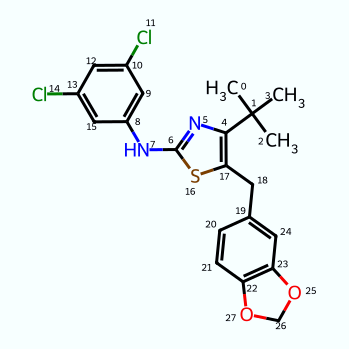 CC(C)(C)c1nc(Nc2cc(Cl)cc(Cl)c2)sc1Cc1ccc2c(c1)OCO2